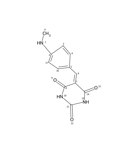 CNc1ccc(C=C2C(=O)NC(=O)NC2=O)cc1